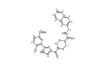 COc1cc(-c2cc(C(=O)N3CCC(C(=O)NCc4ccc5cnccc5c4)CC3)n[nH]2)c(Cl)cn1